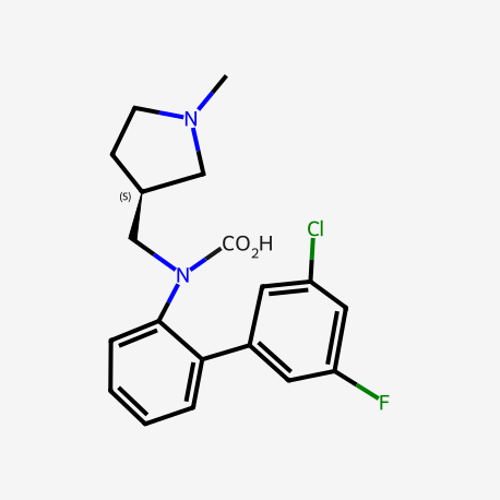 CN1CC[C@H](CN(C(=O)O)c2ccccc2-c2cc(F)cc(Cl)c2)C1